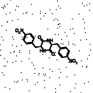 O=C1N[C@@H](Cc2ccc([N+](=O)[O-])cc2)C(=O)N[C@H]1Cc1ccc([N+](=O)[O-])cc1